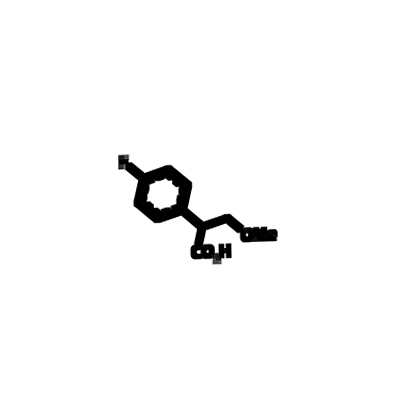 COCC(C(=O)O)c1ccc(F)cc1